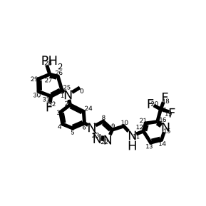 CN(c1cccc(-n2cc(CNc3ccnc(C(F)(F)F)c3)nn2)c1)c1cc(P)ccc1F